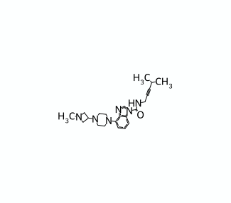 CC(C)C#CCNC(=O)n1cnc2c(N3CCN(C4CN(C)C4)CC3)cccc21